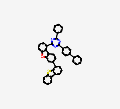 c1ccc(-c2ccc(-c3nc(-c4ccccc4)nc(-c4cccc5oc6cc(-c7cccc8c7sc7ccccc78)ccc6c45)n3)cc2)cc1